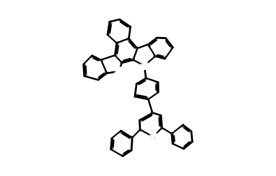 C1=C(c2ccc(-n3c4ccccc4c4c5ccccc5c5c6ccccc6oc5c43)cc2)C=C(c2ccccc2)NC1c1ccccc1